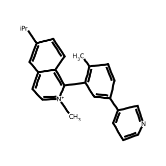 Cc1ccc(-c2cccnc2)cc1-c1c2ccc(C(C)C)cc2cc[n+]1C